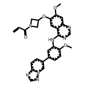 C=CC(=O)N1CC(Oc2cc3c(Nc4cc(-c5ccc6ncnn6c5)ccc4OC)ncnc3cc2OC)C1